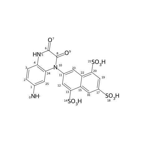 [NH]c1ccc2[nH]c(=O)c(=O)n(-c3cc(S(=O)(=O)O)c4cc(S(=O)(=O)O)cc(S(=O)(=O)O)c4c3)c2c1